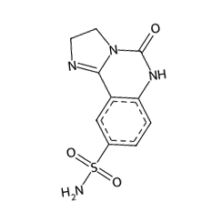 NS(=O)(=O)c1ccc2c(c1)C1=NCCN1C(=O)N2